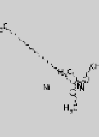 CCCCCCCCCCCCCCCCCCCCCCCCCCCCCCC1=C(c2cccc(CCCC)c2)[N+](=[N-])C(c2cccc(CCCC)c2)=C1CCCC.[Ni]